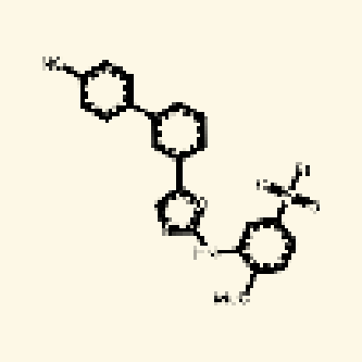 CCS(=O)(=O)c1ccc(OC)c(Nc2ncc(-c3cccc(-c4ccc(C#N)cc4)c3)o2)c1